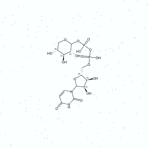 O=c1ccn(C2O[C@H](COP(=O)(O)OP(=O)(O)OC3OC[C@@H](O)[C@H](O)[C@H]3O)[C@@H](O)[C@H]2O)c(=O)[nH]1